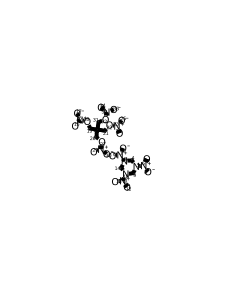 O=[N+]([O-])N1CN([N+](=O)[O-])CN([N+](=O)[O-])C1.O=[N+]([O-])OCC(CO[N+](=O)[O-])(CO[N+](=O)[O-])CO[N+](=O)[O-]